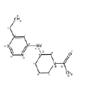 CCc1cc(N[C@H]2CCCN(C(C)=O)C2)ncn1